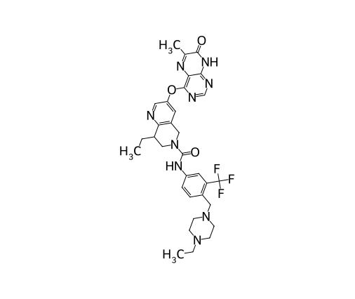 CCC1CN(C(=O)Nc2ccc(CN3CCN(CC)CC3)c(C(F)(F)F)c2)Cc2cc(Oc3ncnc4[nH]c(=O)c(C)nc34)cnc21